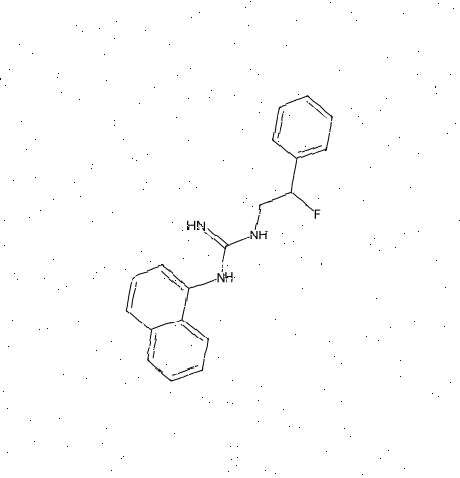 N=C(NCC(F)c1ccccc1)Nc1cccc2ccccc12